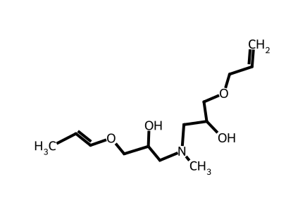 C=CCOCC(O)CN(C)CC(O)CO/C=C/C